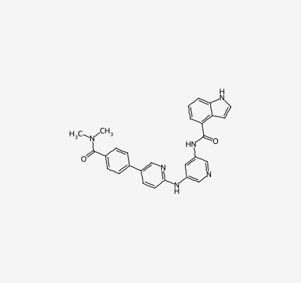 CN(C)C(=O)c1ccc(-c2ccc(Nc3cncc(NC(=O)c4cccc5[nH]ccc45)c3)nc2)cc1